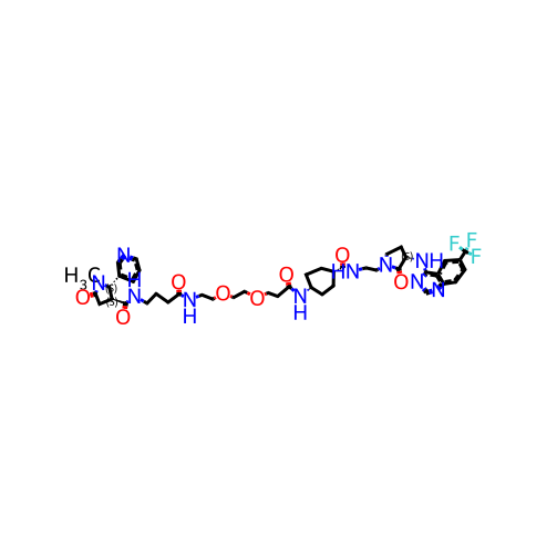 CN1C(=O)C[C@H](C(=O)NCCCC(=O)NCCOCCOCCC(=O)N[C@H]2CC[C@@H](C(=O)NCCN3CC[C@H](Nc4ncnc5ccc(C(F)(F)F)cc45)C3=O)CC2)[C@H]1c1cccnc1